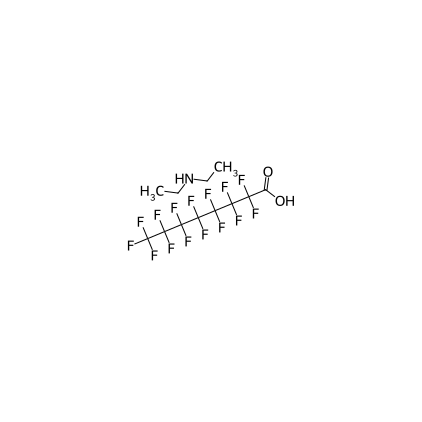 CCNCC.O=C(O)C(F)(F)C(F)(F)C(F)(F)C(F)(F)C(F)(F)C(F)(F)C(F)(F)F